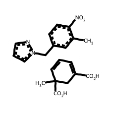 CC1(C(=O)O)C=CC=C(C(=O)O)C1.Cc1cc(Cn2cccn2)ccc1[N+](=O)[O-]